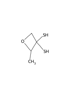 CC1OCC1(S)S